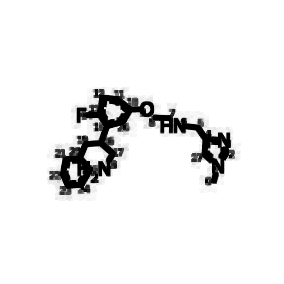 Cn1cnc(CNCCOc2ccc(F)c(C(CN)Cc3ccccc3)c2)c1